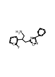 NCC(Cc1nc(-c2ccccc2)no1)c1ccccc1F